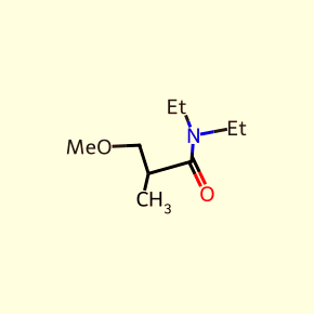 CCN(CC)C(=O)C(C)COC